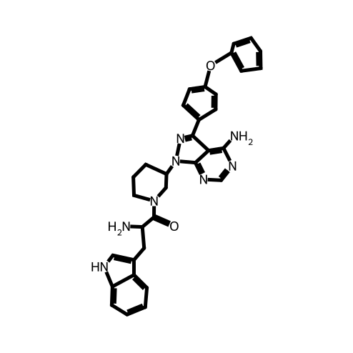 Nc1ncnc2c1c(-c1ccc(Oc3ccccc3)cc1)nn2C1CCCN(C(=O)C(N)Cc2c[nH]c3ccccc23)C1